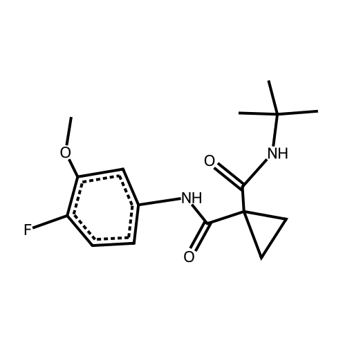 COc1cc(NC(=O)C2(C(=O)NC(C)(C)C)CC2)ccc1F